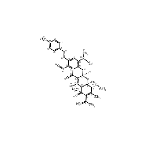 C=C(N)C1=C(C)[C@@H](CC)[C@]2(C)C[C@@H]3Cc4c(N(C)C)cc(/C=C/c5ccc(C)cc5)c(N=O)c4C(=O)C3=C(O)[C@]2(C)C1=O